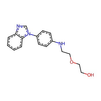 OCCOCCNc1ccc(-n2cnc3ccccc32)cc1